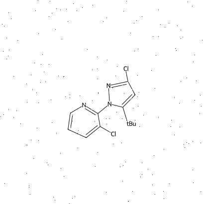 CC(C)(C)c1cc(Cl)nn1-c1ncccc1Cl